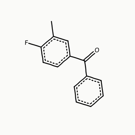 Cc1cc(C(=O)c2ccccc2)ccc1F